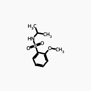 COc1ccccc1S(=O)(=O)NC(C)C